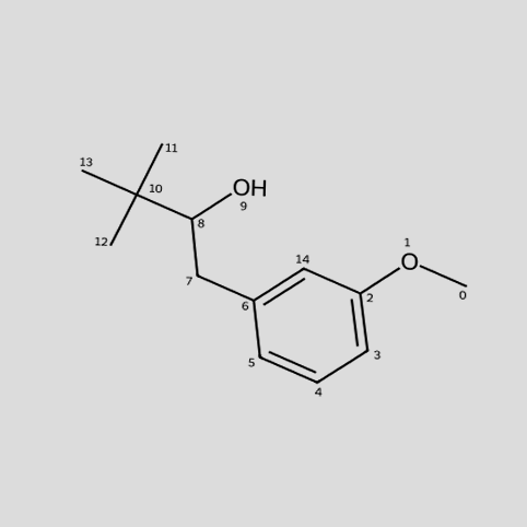 COc1cccc(CC(O)C(C)(C)C)c1